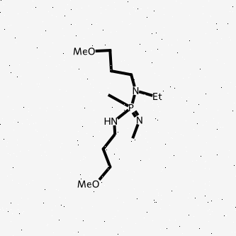 CCN(CCCOC)P(C)(=NC)NCCCOC